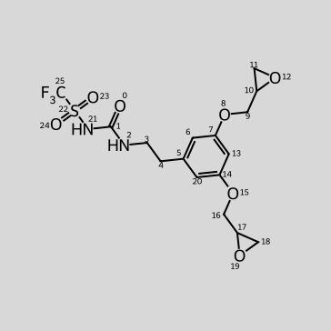 O=C(NCCc1cc(OCC2CO2)cc(OCC2CO2)c1)NS(=O)(=O)C(F)(F)F